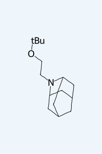 CC(C)(C)OCCN1C2CC3CC(C2)CC1C3